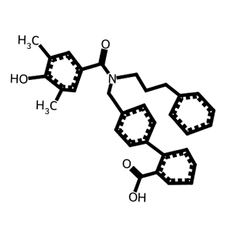 Cc1cc(C(=O)N(CCCc2ccccc2)Cc2ccc(-c3ccccc3C(=O)O)cc2)cc(C)c1O